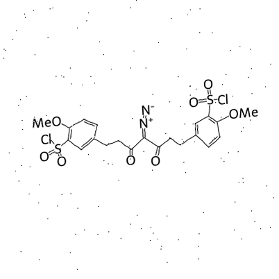 COc1ccc(CCC(=O)C(=[N+]=[N-])C(=O)CCc2ccc(OC)c(S(=O)(=O)Cl)c2)cc1S(=O)(=O)Cl